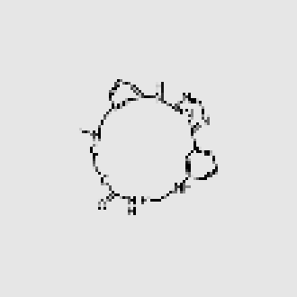 CN1CCCC(=O)NCCNc2cccc(c2)-c2ncnc(n2)Nc2cccc(c2)C1